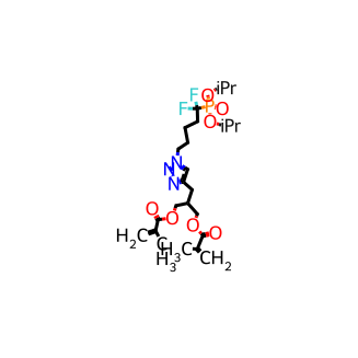 C=C(C)C(=O)OCC(COC(=O)C(=C)C)Cc1cn(CCCCC(F)(F)P(=O)(OC(C)C)OC(C)C)nn1